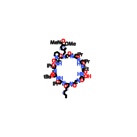 C=C/C=C\C=C\CC1C(=O)N(C)C(CC(C)C)C(=O)NC(COC(C)(C)C)C(=O)N(C)C(CC(C)C)C(=O)N[C@H](C(=O)N2CCCCC2)CC(=O)N(CCC(=C)/C=C\C(=C\OC)C(=O)NC)CC(=O)N(C)C(CC(C)C)C(=O)NC(CC(C)C)C(=O)N(C)[C@@H](CC)C(=O)NC(C(C)O)C(=O)N(C)CC(=O)N1C